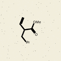 C=CC(CC(C)C)C(=O)OC